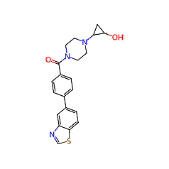 O=C(c1ccc(-c2ccc3scnc3c2)cc1)N1CCN(C2C[C]2O)CC1